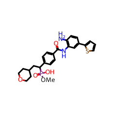 COP(=O)(O)C(CC1CCOCC1)c1ccc(C(=O)Nc2cc(-c3cccs3)ccc2N)cc1